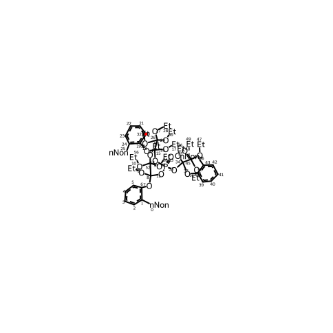 CCCCCCCCCc1ccccc1OC(OCC)(OP(=O)(OC(OCC)(Oc1ccccc1CCCCCCCCC)C(OCC)(OCC)OCC)OC(OCC)(Oc1ccccc1CCCCCCCCC)C(OCC)(OCC)OCC)C(OCC)(OCC)OCC